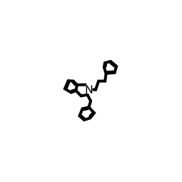 c1ccc(CCCN2Cc3ccccc3CC2Cc2ccccc2)cc1